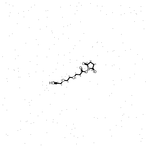 C#CCOCCOCCC(=O)ON1C(=O)CCC1=O